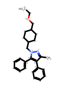 Cc1nn(CC2CCC(COCC(=O)O)CC2)c(-c2ccccc2)c1-c1ccccc1